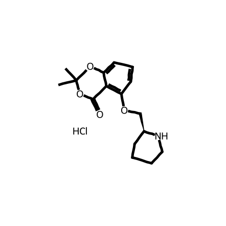 CC1(C)OC(=O)c2c(OC[C@@H]3CCCCN3)cccc2O1.Cl